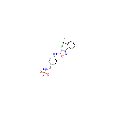 CS(=O)(=O)NC[C@H]1CC[C@H](Nc2nc(-c3ccccc3C(F)(F)F)no2)CC1